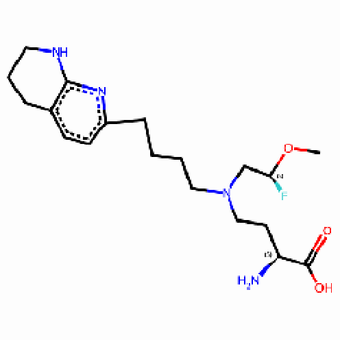 CO[C@@H](F)CN(CCCCc1ccc2c(n1)NCCC2)CC[C@H](N)C(=O)O